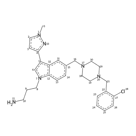 Cn1ccc(-c2cn(CCCN)c3ccc(CN4CCN(Cc5ccccc5Cl)CC4)cc23)n1